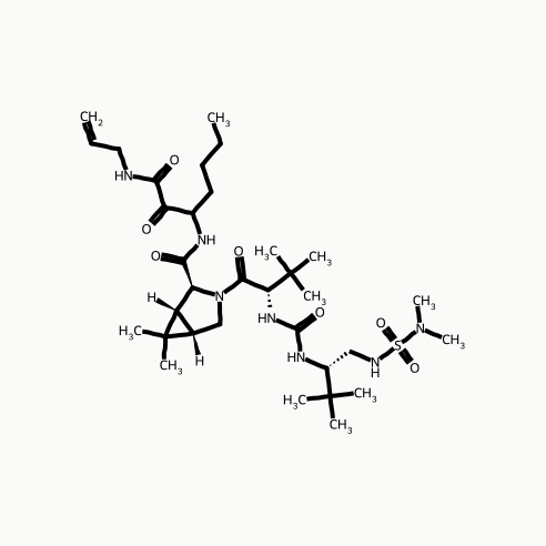 C=CCNC(=O)C(=O)C(CCCC)NC(=O)[C@@H]1[C@@H]2[C@H](CN1C(=O)[C@@H](NC(=O)N[C@H](CNS(=O)(=O)N(C)C)C(C)(C)C)C(C)(C)C)C2(C)C